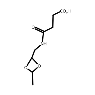 CC1OC(CNC(=O)CCC(=O)O)O1